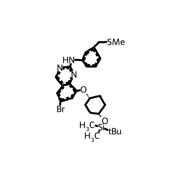 CSCc1cccc(Nc2ncc3cc(Br)cc(O[C@H]4CC[C@@H](O[Si](C)(C)C(C)(C)C)CC4)c3n2)c1